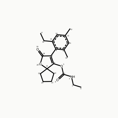 CCNC(=O)OC1=C(c2c(C)cc(C)cc2CC)C(=O)OC12CCCC2